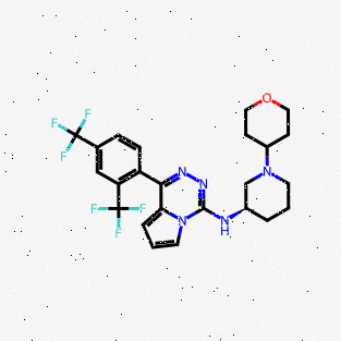 FC(F)(F)c1ccc(-c2nnc(N[C@@H]3CCCN(C4CCOCC4)C3)n3cccc23)c(C(F)(F)F)c1